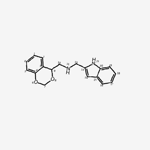 c1ccc2c(c1)OCOC2CNCc1cc2ccccc2[nH]1